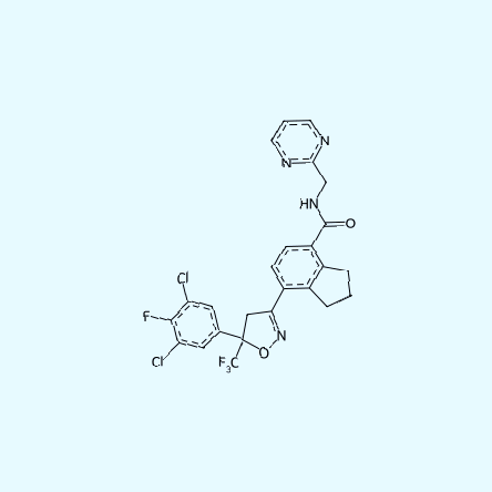 O=C(NCc1ncccn1)c1ccc(C2=NOC(c3cc(Cl)c(F)c(Cl)c3)(C(F)(F)F)C2)c2c1CCC2